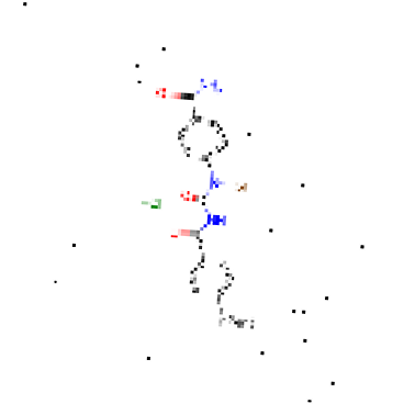 CCCCCc1ccc(C(=O)NC(=O)N(S)c2ccc(C(N)=O)cc2)cc1.Cl